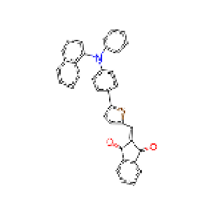 O=C1C(=Cc2ccc(-c3ccc(N(c4ccccc4)c4cccc5ccccc45)cc3)s2)C(=O)c2ccccc21